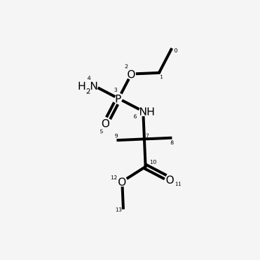 CCOP(N)(=O)NC(C)(C)C(=O)OC